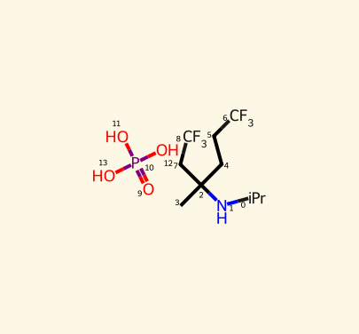 CC(C)NC(C)(CCC(F)(F)F)CC(F)(F)F.O=P(O)(O)O